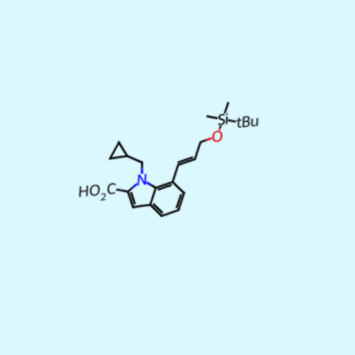 CC(C)(C)[Si](C)(C)OC/C=C/c1cccc2cc(C(=O)O)n(CC3CC3)c12